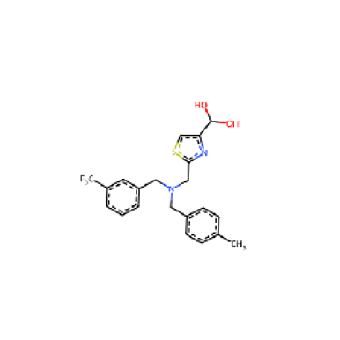 Cc1ccc(CN(Cc2cccc(C(F)(F)F)c2)Cc2nc(C(O)O)cs2)cc1